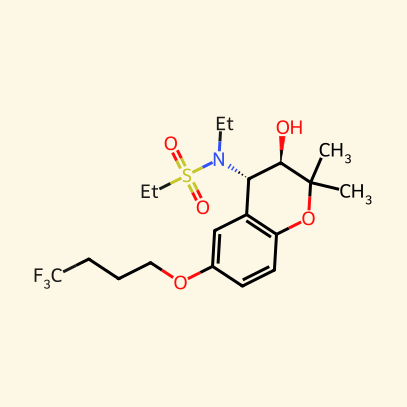 CCN([C@H]1c2cc(OCCCC(F)(F)F)ccc2OC(C)(C)[C@@H]1O)S(=O)(=O)CC